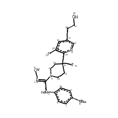 CC(C)(C)c1ccc(NC(=NC#N)N2CCC(F)(c3ncc(CCO)cc3F)CC2)cc1